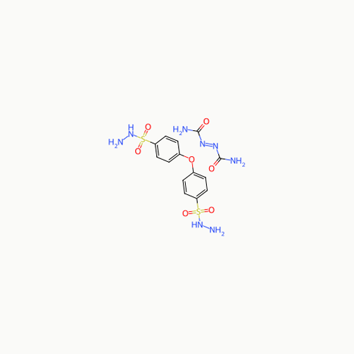 NC(=O)N=NC(N)=O.NNS(=O)(=O)c1ccc(Oc2ccc(S(=O)(=O)NN)cc2)cc1